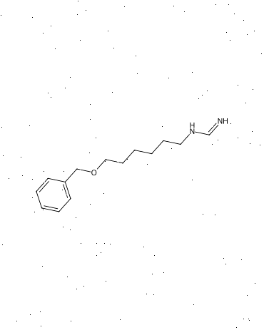 N=CNCCCCCCOCc1ccccc1